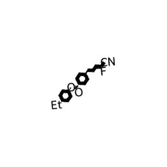 CC[C@H]1CC[C@H](OC(=O)[C@H]2CC[C@H](CCC=C(F)C#N)CC2)CC1